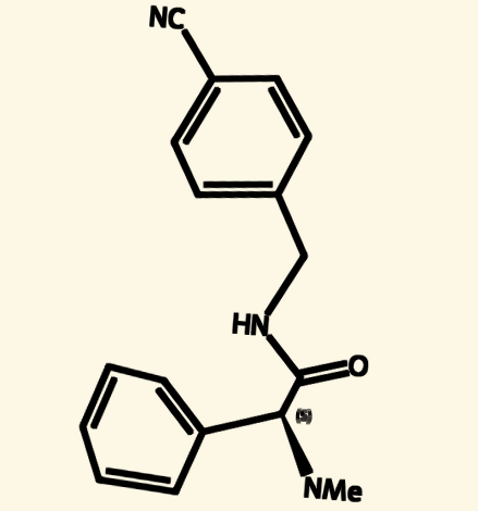 CN[C@H](C(=O)NCc1ccc(C#N)cc1)c1ccccc1